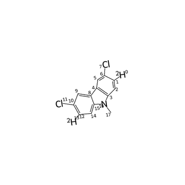 [2H]c1cc2c(cc1Cl)c1cc(Cl)c([2H])cc1n2C